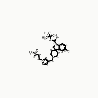 CC(C)(C)OC(=O)N1CC2(CCN(Cc3cnn(CCS(C)(=O)=O)c3)CC2)c2cc(Cl)ccc21